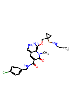 CCOC(=O)CNSC1(CO/C(N)=c2/c(=C\N)cc(C(=O)NCc3ccc(Cl)cc3)c(=O)n2C)CC1